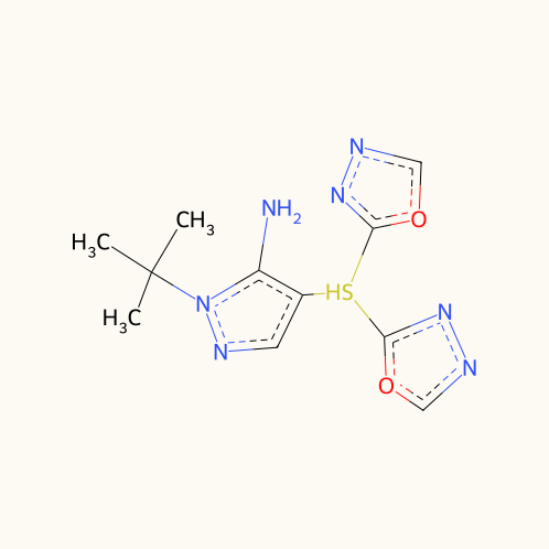 CC(C)(C)n1ncc([SH](c2nnco2)c2nnco2)c1N